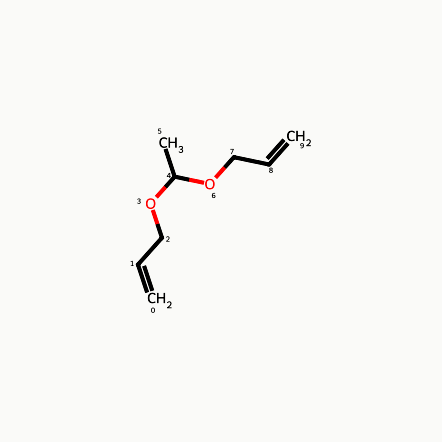 C=CCOC(C)OCC=C